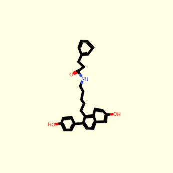 O=C(CCc1ccccc1)NCCCCCc1c(-c2ccc(O)cc2)ccc2cc(O)ccc12